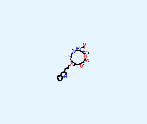 CC[C@H]1OC(=O)[C@@](C)(F)C(=O)[C@H](C)C(C)[C@](C)(OC/C=C/c2cnc3ccccc3c2)C[C@@H](C)CN(C)[C@H](C)[C@H]2NC(=O)O[C@@]21C